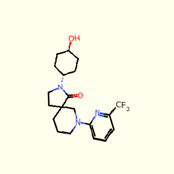 O=C1N([C@H]2CC[C@H](O)CC2)CCC12CCCN(c1cccc(C(F)(F)F)n1)C2